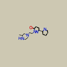 CC1CN(CCn2nc(-c3ccccn3)ccc2=O)CCN1